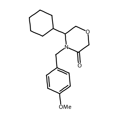 COc1ccc(CN2C(=O)COCC2C2CCCCC2)cc1